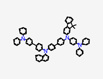 CC1(C)c2ccccc2-c2ccc(N(c3ccc(-c4ccc(N(c5ccc(-c6ccc(N(c7ccccc7)c7ccccc7)cc6)cc5)c5cccc6ccccc56)cc4)cc3)c3ccc(N(c4ccccc4)c4ccccc4)cc3)cc21